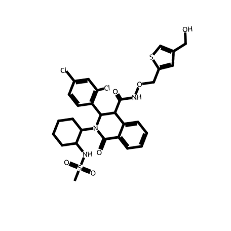 CS(=O)(=O)NC1CCCCC1N1C(=O)c2ccccc2C(C(=O)NOCc2cc(CO)cs2)C1c1ccc(Cl)cc1Cl